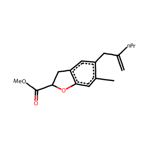 C=C(CCC)Cc1cc2c(cc1C)OC(C(=O)OC)C2